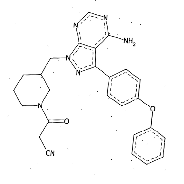 N#CCC(=O)N1CCCC(Cn2nc(-c3ccc(Oc4ccccc4)cc3)c3c(N)ncnc32)C1